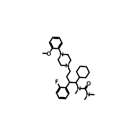 COc1ccccc1N1CCN(CCC(c2ccccc2F)C(C2CCCCC2)N(C)C(=O)N(C)C)CC1